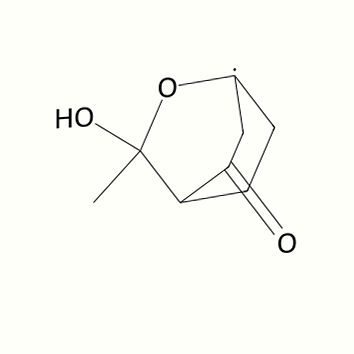 CC1(O)O[C]2CCC1C(=O)C2